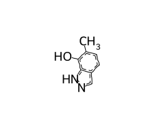 Cc1ccc2cn[nH]c2c1O